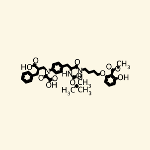 COC(=O)c1c(O)cccc1OCCCCNC(=O)C(Cc1ccc(N(CC(Cc2ccccc2)C(=O)O)C(=O)C(=O)O)cc1)NC(=O)OC(C)(C)C